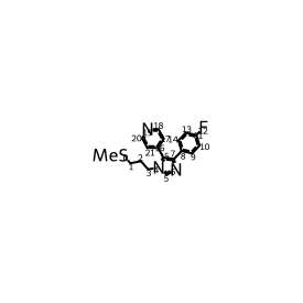 CSCCCn1cnc(-c2ccc(F)cc2)c1-c1ccncc1